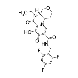 CCN1C(=O)c2c(O)c(=O)c(C(=O)NCc3c(F)cc(F)cc3F)cn2C2CCOC[C@H]21